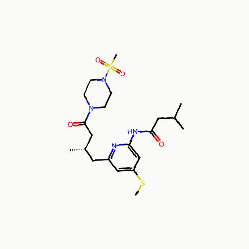 CSc1cc(C[C@H](C)CC(=O)N2CCN(S(C)(=O)=O)CC2)nc(NC(=O)CC(C)C)c1